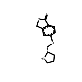 O=C1OCc2cc(OC[C@@H]3CCCN3)ccc21